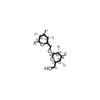 C[C@@H]1[C@@H](C)[C@H](C)C(CO[C@@H]2OC(CO)[C@@H](C)[C@H](C)[C@H]2C)O[C@H]1C